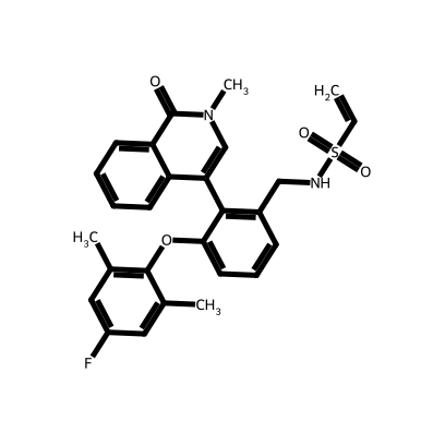 C=CS(=O)(=O)NCc1cccc(Oc2c(C)cc(F)cc2C)c1-c1cn(C)c(=O)c2ccccc12